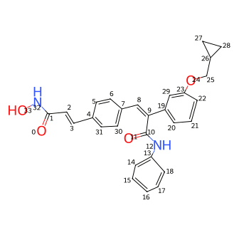 O=C(C=Cc1ccc(C=C(C(=O)Nc2ccccc2)c2cccc(OCC3CC3)c2)cc1)NO